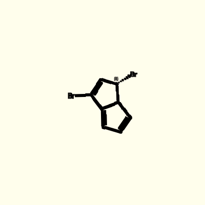 BrC1=C[C@H](Br)C2C=CC=C12